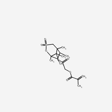 C=C(C)C(=O)OCC(=O)OC1(C)C2(C)CS(=O)(=O)OC1(C)C(C)C2C